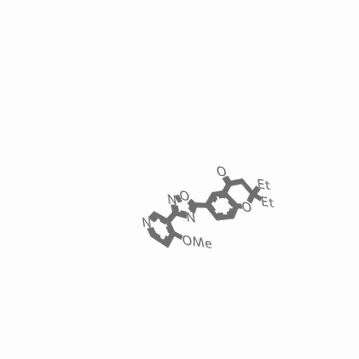 CCC1(CC)CC(=O)c2cc(-c3nc(-c4cnccc4OC)no3)ccc2O1